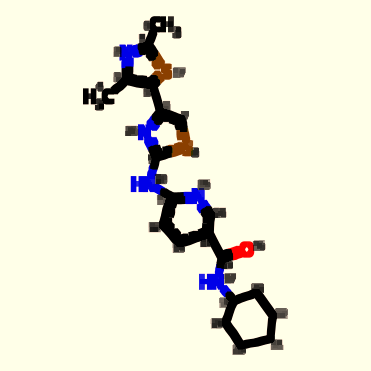 Cc1nc(C)c(-c2csc(Nc3ccc(C(=O)NC4CCCCC4)cn3)n2)s1